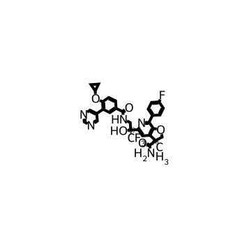 C[C@]1(C(N)=O)COc2c1cc([C@@](O)(CNC(=O)c1ccc(OC3CC3)c(-c3cncnc3)c1)C(F)(F)F)nc2-c1ccc(F)cc1